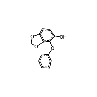 Oc1ccc2c(c1Oc1ccccc1)OCO2